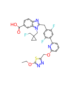 CCOc1nnc(COc2cccc(-c3cc(F)c(Cc4nc5ccc(C(=O)O)cc5n4CC4(CF)CC4)cc3F)n2)s1